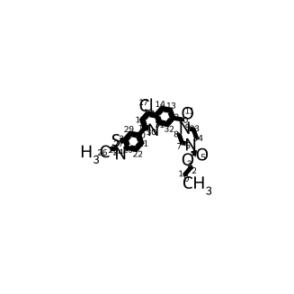 CCCOC(=O)N1CCN(C(=O)c2ccc3c(Cl)cc(-c4ccc5nc(C)sc5c4)nc3c2)CC1